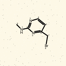 CNc1nccc(CBr)n1